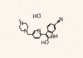 CN1CCN(Cc2ccc(-c3c(O)[nH]c4cc(C#N)ccc34)nc2)CC1.Cl